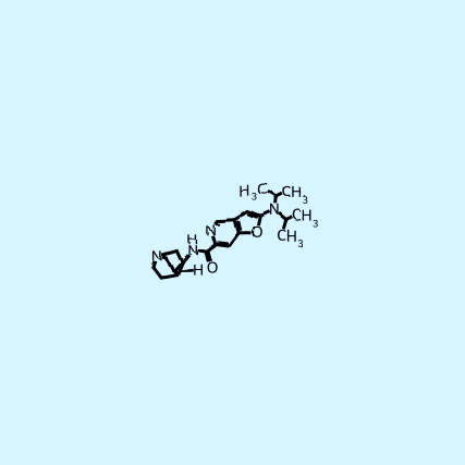 CC(C)N(c1cc2cnc(C(=O)N[C@H]3CN4CCC3CC4)cc2o1)C(C)C